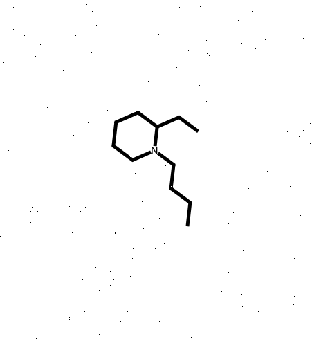 CCCCN1CCCCC1CC